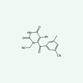 Cc1cc(C#N)cc(C(=O)c2c(C(C)C)c(=O)[nH]c(=O)n2CC#N)c1